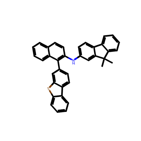 CC1(C)c2ccccc2-c2ccc(Nc3ccc4ccccc4c3-c3ccc4c(c3)sc3ccccc34)cc21